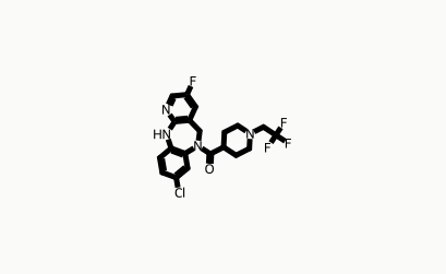 O=C(C1CCN(CC(F)(F)F)CC1)N1Cc2cc(F)cnc2Nc2ccc(Cl)cc21